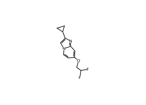 FC(F)COc1ccn2cc(C3CC3)nc2c1